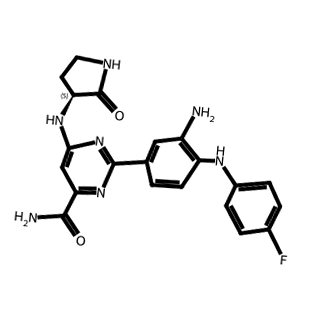 NC(=O)c1cc(N[C@H]2CCNC2=O)nc(-c2ccc(Nc3ccc(F)cc3)c(N)c2)n1